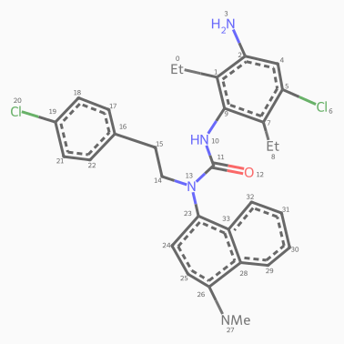 CCc1c(N)cc(Cl)c(CC)c1NC(=O)N(CCc1ccc(Cl)cc1)c1ccc(NC)c2ccccc12